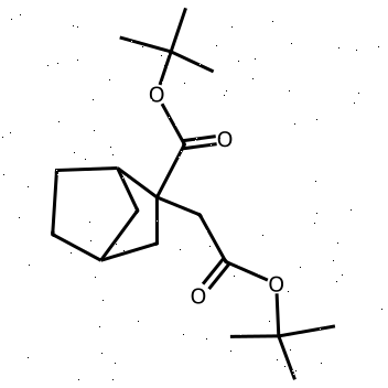 CC(C)(C)OC(=O)CC1(C(=O)OC(C)(C)C)CC2CCC1C2